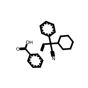 C=CC(C#N)(c1ccccc1)C1CCCCC1.O=C(O)c1ccccc1